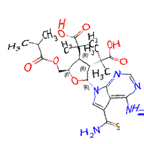 CC(C)C(=O)OC[C@@H]1O[C@@H](n2cc(C(N)=S)c3c(N)ncnc32)[C@@H](C(C)(C)C(=O)O)[C@@H]1C(C)(C)C(=O)O